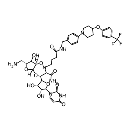 NC[C@H]1O[C@H]2O[C@H](C3OC(n4ccc(=O)[nH]c4=O)[C@H](O)[C@@H]3O)[C@H](C(N)=O)N(CCCC(=O)NCc3ccc(N4CCC(Oc5ccc(C(F)(F)F)cc5)CC4)cc3)O[C@@H]2[C@@H]1O